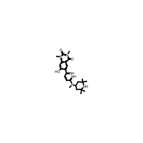 CN(C(=N)/C=C\C(=N)c1cc2c(=O)n(C)c(=O)n(C)c2cc1O)C1CC(C)(C)NC(C)(C)C1